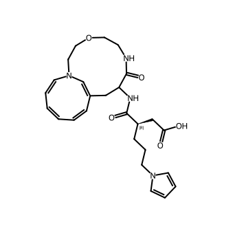 O=C(O)C[C@@H](CCCn1cccc1)C(=O)NC1Cc2ccccccn(c2)CCOCCNC1=O